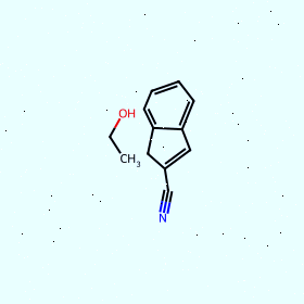 CCO.N#CC1=Cc2ccccc2C1